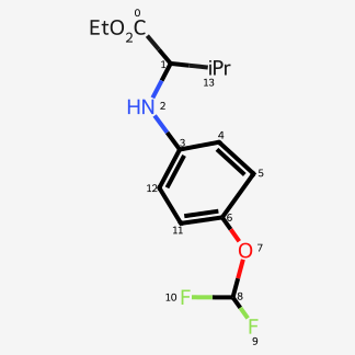 CCOC(=O)C(Nc1ccc(OC(F)F)cc1)C(C)C